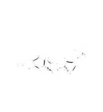 Cc1c(OCC(F)(F)F)ccnc1CSc1nc2ccc(CO)cc2n1N